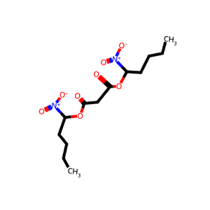 CCCCC(OC(=O)CC(=O)OC(CCCC)[N+](=O)[O-])[N+](=O)[O-]